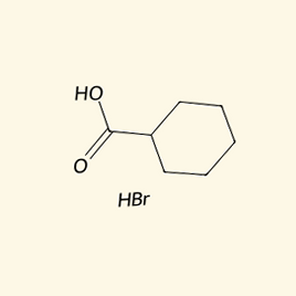 Br.O=C(O)C1CCCCC1